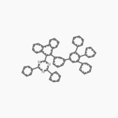 c1ccc(-c2nc(-c3ccccc3)nc(-c3c(-c4cccc(-c5cc(-c6ccccc6)c(-c6ccccc6)c(-c6ccccc6)c5)c4)c4ccccc4c4ccccc34)n2)cc1